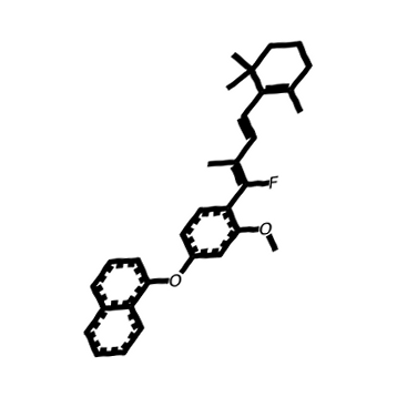 COc1cc(Oc2cccc3ccccc23)ccc1/C(F)=C(C)/C=C/C1=C(C)CCCC1(C)C